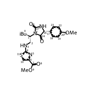 CC[C@H](C)[C@@H](CNc1nc(C(=O)OC)cs1)N1C(=O)N[C@H](c2ccc(OC)cc2)C1=O